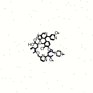 C=C/C(CC(Oc1nsc2cnc(-c3ccnc(OC)c3)c(-c3ccc(OCCN4CCN(C)CC4)c(Cl)c3C)c12)C(=O)O)=C(\C)OCc1ccnc(C(/C=C\C)=C(/C)OC)n1